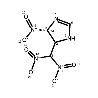 O=[N+]([O-])C(C1NC=N[C@H]1[N+](=O)[O-])[N+](=O)[O-]